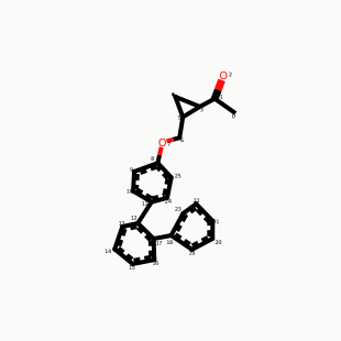 CC(=O)C1CC1COc1ccc(-c2ccccc2-c2ccccc2)cc1